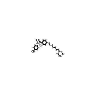 CN(c1ccc(OCCCCCCN2CCOCC2)cc1)S(=O)(=O)c1ccc(Cl)cc1